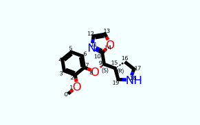 COc1ccccc1O[C@H](c1ncco1)[C@@H]1CCNC1